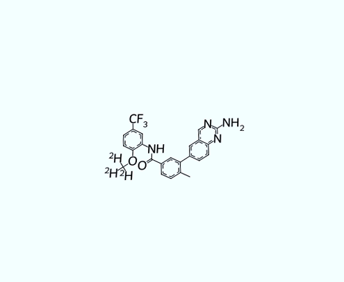 [2H]C([2H])([2H])Oc1ccc(C(F)(F)F)cc1NC(=O)c1ccc(C)c(-c2ccc3nc(N)ncc3c2)c1